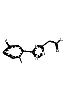 CCC(=O)Cc1nc(-c2cc(F)ccc2F)no1